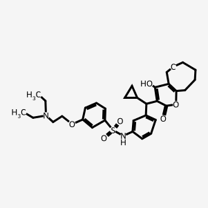 CCN(CC)CCOc1cccc(S(=O)(=O)Nc2cccc(C(c3c(O)c4c(oc3=O)CCCCCC4)C3CC3)c2)c1